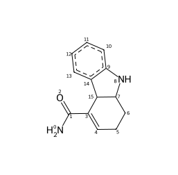 NC(=O)C1=CCCC2Nc3ccccc3C12